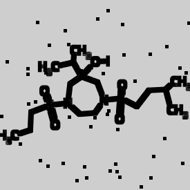 CCCS(=O)(=O)N1CCN(S(=O)(=O)CCC(C)C)CC(OI)(C(C)C)C1